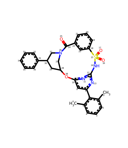 Cc1cccc(C)c1-c1cc2nc(n1)NS(=O)(=O)c1cccc(c1)C(=O)N1CC(CC(c3ccccc3)C1)O2